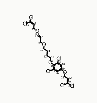 ClC(Cl)=CCO/N=C/COCCCCOc1c(Cl)cc(OCC=C(Cl)Cl)cc1Cl